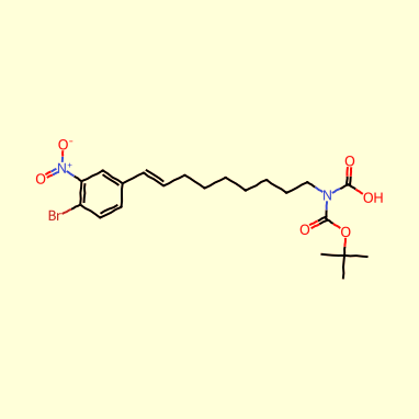 CC(C)(C)OC(=O)N(CCCCCCCC=Cc1ccc(Br)c([N+](=O)[O-])c1)C(=O)O